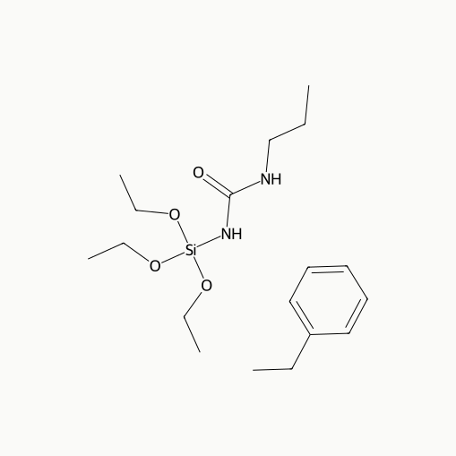 CCCNC(=O)N[Si](OCC)(OCC)OCC.CCc1ccccc1